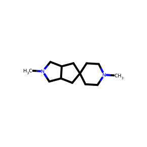 CN1CCC2(CC1)CC1CN(C)CC1C2